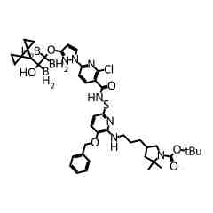 BC(B)(Oc1ccn(-c2ccc(C(=O)NSc3ccc(OCc4ccccc4)c(NCCCC4CN(C(=O)OC(C)(C)C)C(C)(C)C4)n3)c(Cl)n2)n1)C(B)(O)C1C2(CC2)C12CC2